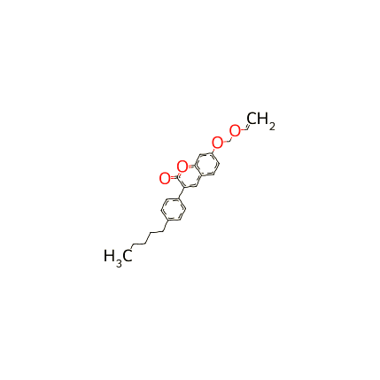 C=COCOc1ccc2cc(-c3ccc(CCCCC)cc3)c(=O)oc2c1